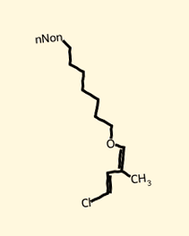 CCCCCCCCCCCCCCCCOC=C(C)C=CCl